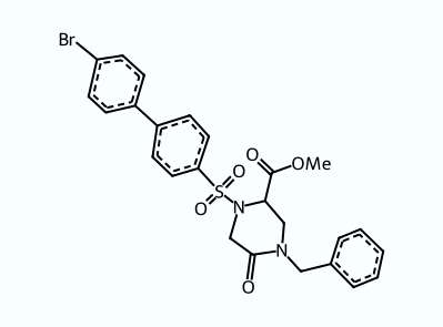 COC(=O)C1CN(Cc2ccccc2)C(=O)CN1S(=O)(=O)c1ccc(-c2ccc(Br)cc2)cc1